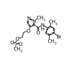 Cc1cc(NC(=O)c2c(OCCOS(C)(=O)=O)cnn2C)c(C)cc1Br